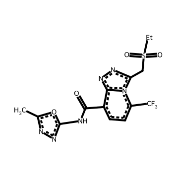 CCS(=O)(=O)Cc1nnc2c(C(=O)Nc3nnc(C)o3)ccc(C(F)(F)F)n12